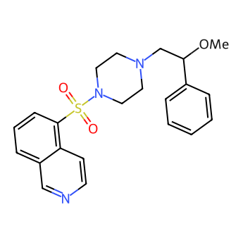 COC(CN1CCN(S(=O)(=O)c2cccc3cnccc23)CC1)c1ccccc1